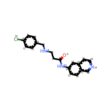 O=C(CCNCc1ccc(Cl)cc1)Nc1ccc2cnccc2c1